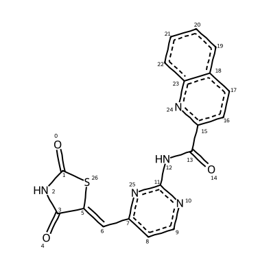 O=C1NC(=O)C(=Cc2ccnc(NC(=O)c3ccc4ccccc4n3)n2)S1